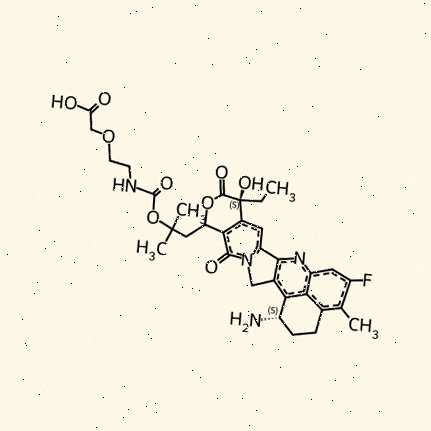 CC[C@@]1(O)C(=O)OC(CC(C)(C)OC(=O)NCCOCC(=O)O)c2c1cc1n(c2=O)Cc2c-1nc1cc(F)c(C)c3c1c2[C@@H](N)CC3